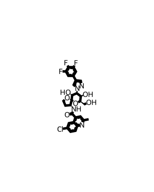 Cc1cc(C(=O)N[C@@H]2CCO[C@]23O[C@H](CO)[C@H](O)[C@H](n2cc(-c4cc(F)c(F)c(F)c4)cn2)[C@H]3O)c2cc(Cl)ccc2n1